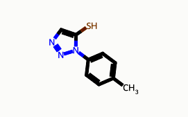 Cc1ccc(-n2nncc2S)cc1